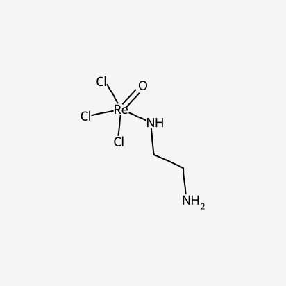 NCC[NH][Re](=[O])([Cl])([Cl])[Cl]